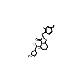 O=C([C@@H]1CCCc2nn(Cc3ccc(F)cc3F)c(=O)n21)N1CC[C@H](F)C1